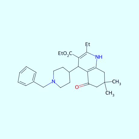 CCOC(=O)C1=C(CC)NC2=C(C(=O)CC(C)(C)C2)C1C1CCN(Cc2ccccc2)CC1